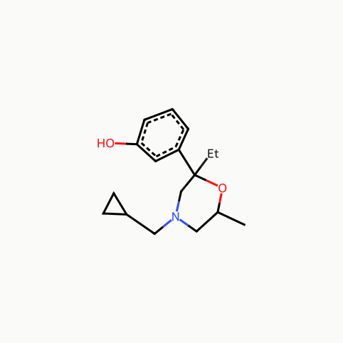 CCC1(c2cccc(O)c2)CN(CC2CC2)CC(C)O1